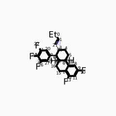 CC/C=C/[C@@H]1CC[C@H]2c3cc(F)cc(F)c3CC[C@@H]2[C@H]1c1cc(F)c(F)c(F)c1